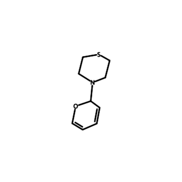 C1=COC(N2CCSCC2)C=C1